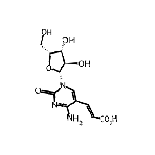 Nc1nc(=O)n([C@@H]2O[C@H](CO)[C@H](O)[C@H]2O)cc1/C=C/C(=O)O